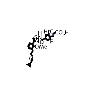 COc1c(CCCOCC2CC2)cccc1-c1csc(NC(=O)c2cc(F)c(/C=C(\C)C(=O)O)c(F)c2)n1